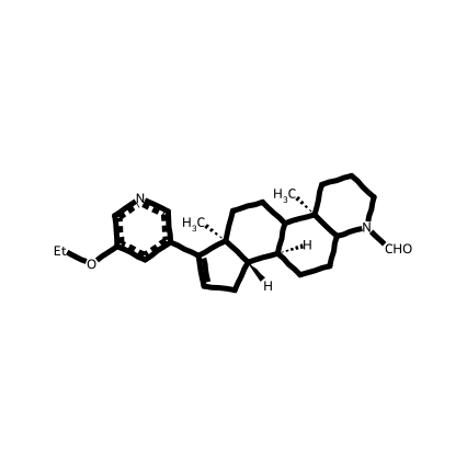 CCOc1cncc(C2=CC[C@H]3[C@@H]4CCC5N(C=O)CCC[C@]5(C)C4CC[C@]23C)c1